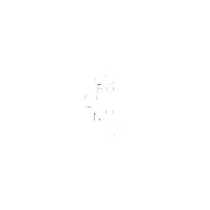 COCCC(=O)N(C)c1cccc(B2OC(C)(C)C(C)(C)O2)c1